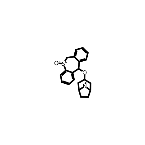 CN1C2CCC1CC(OC1c3ccccc3C[S+]([O-])c3ccccc31)C2